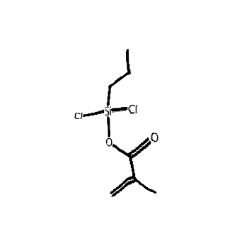 C=C(C)C(=O)O[Si](Cl)(Cl)CCC